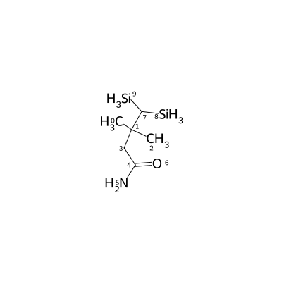 CC(C)(CC(N)=O)C([SiH3])[SiH3]